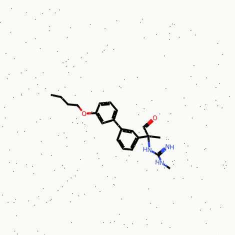 CCCCOc1cccc(-c2cccc(C(C)(C=O)NC(=N)NC)c2)c1